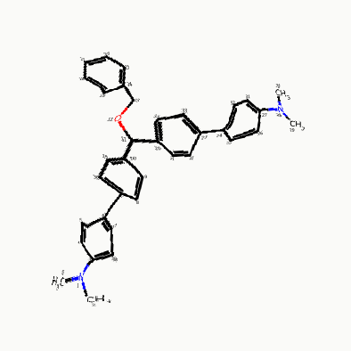 CN(C)c1ccc(-c2ccc(C(OCc3ccccc3)c3ccc(-c4ccc(N(C)C)cc4)cc3)cc2)cc1